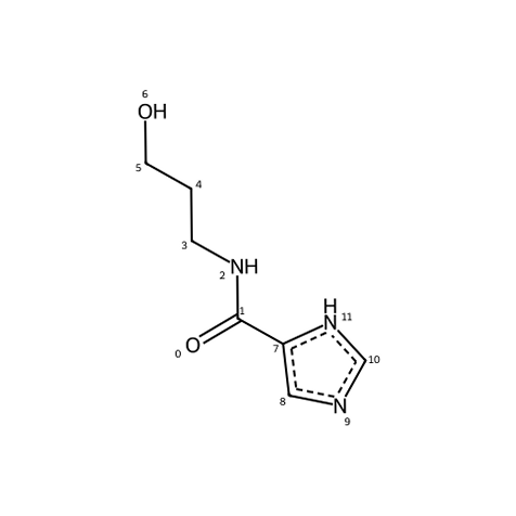 O=C(NCCCO)c1cnc[nH]1